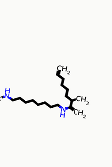 C=CCCCCC(C)C(=C)NCCCCCCCCNCC